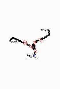 CCCCC/C=C\C/C=C\CCCCCCCC(=O)OCCCOc1cc(COC(=O)CCN(C)C)cc(OCCCOC(=O)CCCCCCC/C=C\C/C=C\CCCCC)c1